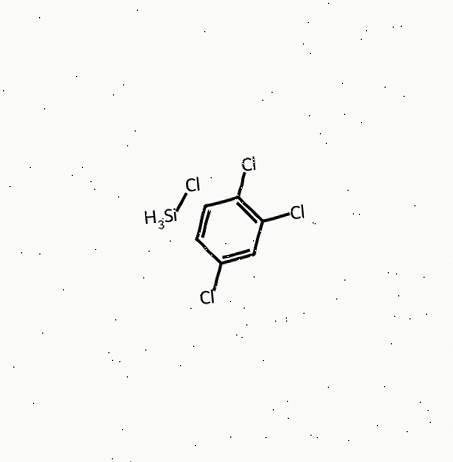 Clc1ccc(Cl)c(Cl)c1.[SiH3]Cl